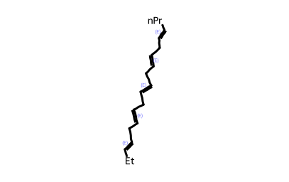 CC/C=C/C/C=C/C/C=C/C/C=C/C/C=C/CCC